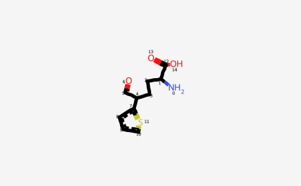 NC(CCC([C]=O)c1cccs1)C(=O)O